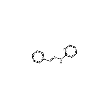 C(=NNc1ccccn1)c1ccccc1